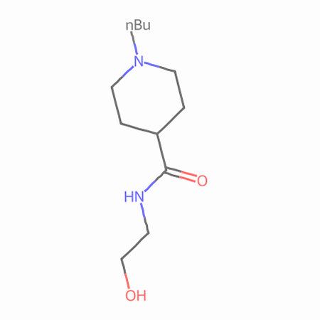 CCCCN1CCC(C(=O)NCCO)CC1